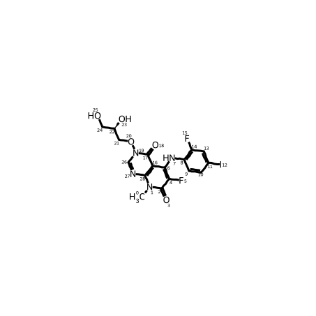 Cn1c(=O)c(F)c(Nc2ccc(I)cc2F)c2c(=O)n(OC[C@H](O)CO)cnc21